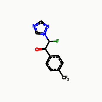 O=C(c1ccc(C(F)(F)F)cc1)C(F)n1cncn1